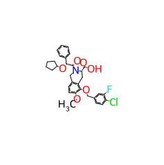 COc1ccc2c(c1OCc1ccc(Cl)c(F)c1)C[C@H](C(=O)O)N(C(=O)[C@H](OC1CCCC1)c1ccccc1)C2